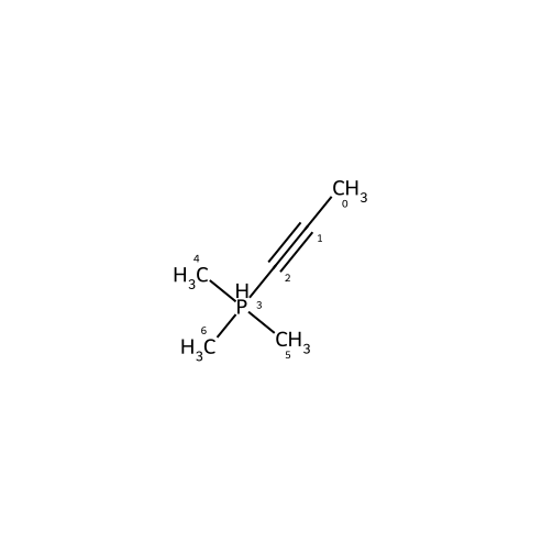 CC#C[PH](C)(C)C